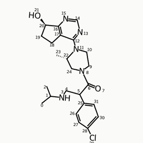 CC(C)NCC(C(=O)N1CCN(c2ncnc3c2CC[C@H]3O)[C@@H](C)C1)c1ccc(Cl)cc1